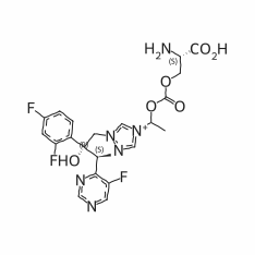 CC(OC(=O)OC[C@H](N)C(=O)O)[n+]1cnn(C[C@](O)(c2ccc(F)cc2F)[C@@H](C)c2ncncc2F)c1